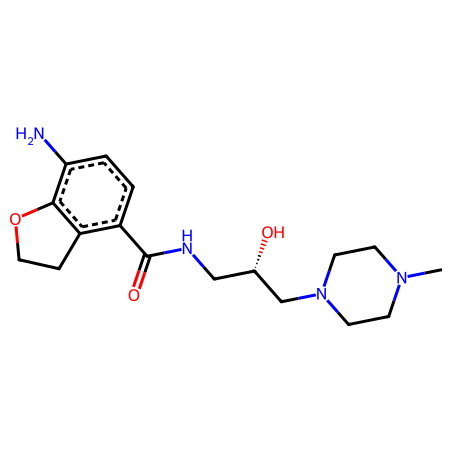 CN1CCN(C[C@@H](O)CNC(=O)c2ccc(N)c3c2CCO3)CC1